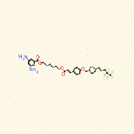 Nc1cc(N)cc(C(=O)OCCCCCCOC(=O)/C=C/c2ccc(OCC3CCC(CCCC(F)(F)C(F)(F)F)CC3)cc2)c1